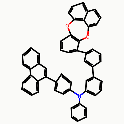 c1ccc(N(c2ccc(-c3cc4ccccc4c4ccccc34)cc2)c2cccc(-c3cccc(-c4cccc5c4Oc4cccc6cccc(c46)O5)c3)c2)cc1